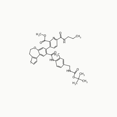 CCCNC(=O)c1ccc(-c2cc3c(cc2C(=O)Nc2ccc(CNC(=O)OC(C)(C)C)cc2C)-c2ccsc2CCO3)c(C(=O)OC)n1